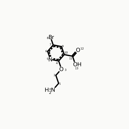 NCCOc1ncc(Br)cc1C(=O)O